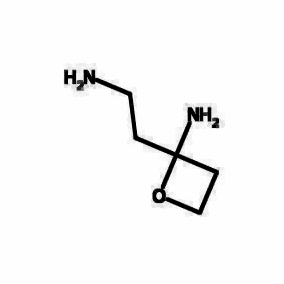 NCCC1(N)CCO1